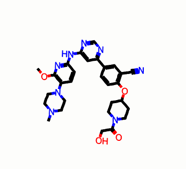 COc1nc(Nc2cc(-c3ccc(OC4CCN(C(=O)CO)CC4)c(C#N)c3)ncn2)ccc1N1CCN(C)CC1